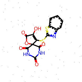 O=C1NC(=O)C2(OC(=O)C(O)=C2Sc2nc3ccccc3s2)C(=O)N1